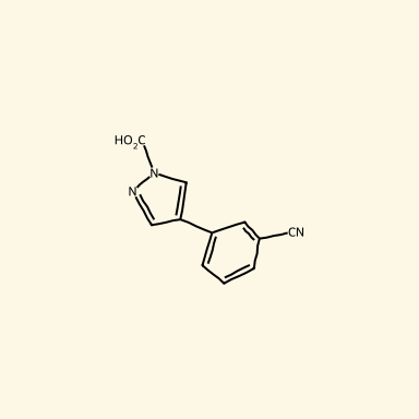 N#Cc1cccc(-c2cnn(C(=O)O)c2)c1